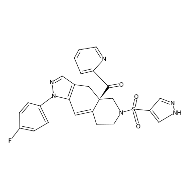 O=C(c1ccccn1)[C@]12Cc3cnn(-c4ccc(F)cc4)c3C=C1CCN(S(=O)(=O)c1cn[nH]c1)C2